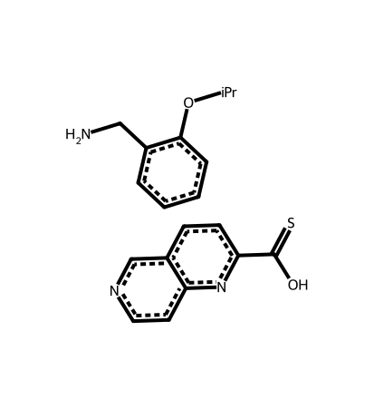 CC(C)Oc1ccccc1CN.OC(=S)c1ccc2cnccc2n1